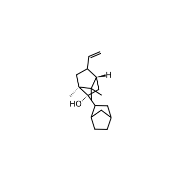 C=CC1C[C@@]2(C)C(C)(C)[C@H]1C[C@@]2(O)C1CC2CCC1C2